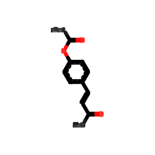 CCCCCC(=O)Oc1ccc(C=CC(=O)OC)cc1